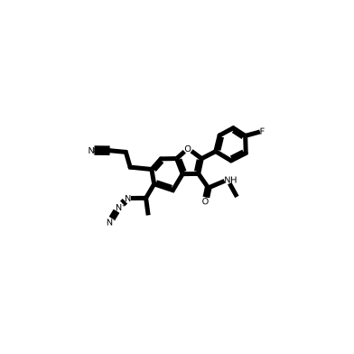 CNC(=O)c1c(-c2ccc(F)cc2)oc2cc(CCC#N)c(C(C)N=[N+]=[N-])cc12